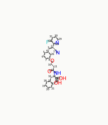 N#CC(=Cc1cccc(OCCC(=O)NC(Cc2ccccc2)B(O)O)c1)c1ncccc1F